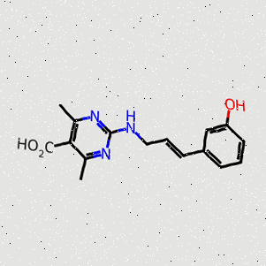 Cc1nc(NCC=Cc2cccc(O)c2)nc(C)c1C(=O)O